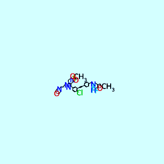 Cc1cc(CNCc2ccc(C#Cc3cc(-c4nn(CCCN5CCOCC5)c5c4CN(S(C)(=O)=O)CC5)ccc3Cl)cc2)c(C(F)(F)F)o1